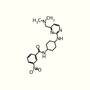 CN(C)Cc1ccnc(NC2CCC(NC(=O)c3cccc([N+](=O)[O-])c3)CC2)n1